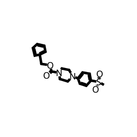 CS(=O)(=O)c1ccc(N2CCN(C(=O)OCc3ccccc3)CC2)cc1